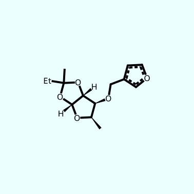 CCC1(C)O[C@H]2O[C@H](C)[C@H](OCc3ccoc3)[C@H]2O1